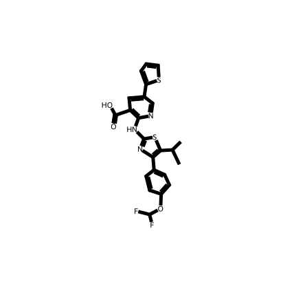 CC(C)c1sc(Nc2ncc(-c3cccs3)cc2C(=O)O)nc1-c1ccc(OC(F)F)cc1